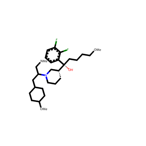 CNCC(CC1CCC(OC)CC1)N1CCC[C@@H]([C@](O)(CCCCOC)c2cccc(F)c2F)C1